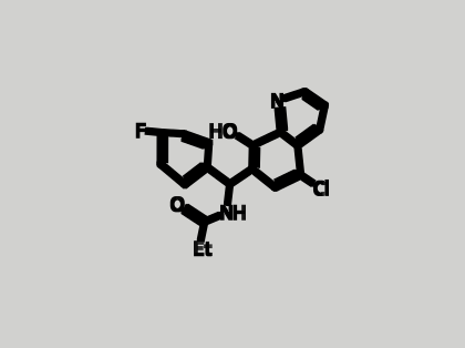 CCC(=O)NC(c1ccc(F)cc1)c1cc(Cl)c2cccnc2c1O